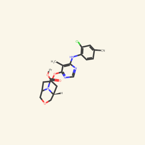 Cc1c(Nc2ccc(C#N)cc2Cl)ncnc1OC1CC2COC[C@@H](C1)N2C(=O)OC(C)C